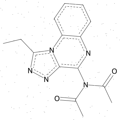 CCc1nnc2c(N(C(C)=O)C(C)=O)nc3ccccc3n12